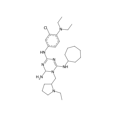 CCN(CC)c1ccc(NC2=NC(N)N(CC3CCCN3CC)C(NC3CCCCCC3)=N2)cc1Cl